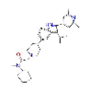 Cc1cc(-c2[nH]c3ccc(C4CCN(CC(=O)N(C)C5CCCCC5)CC4)cc3c2C(C)C)cc(C)n1